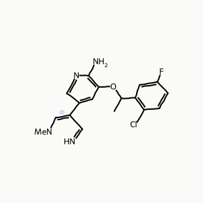 CN/C=C(\C=N)c1cnc(N)c(OC(C)c2cc(F)ccc2Cl)c1